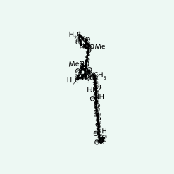 C=C1C[C@H]2C=Nc3cc(OCCCCCOc4cc5c(cc4OC)C(=O)N4CC(=C)C[C@H]4C(O)N5C(=O)OCC(C)(C)SSCCC(=O)NCCNC(=O)CCOCCOCCOCCOCCNC(=O)CCN4C(=O)C=CC4=O)c(OC)cc3C(=O)N2C1